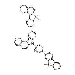 CC1(C)c2ccccc2-c2ccc(-c3ccc(-n4c5ccc(-c6ccc7c(c6)C(C)(C)c6ccc8ccccc8c6-7)cc5c5c6ccccc6ccc54)nc3)cc21